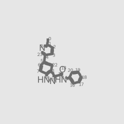 Cc1ccc(-c2ccc3[nH]nc(C(=O)Nc4ccccc4)c3c2)cn1